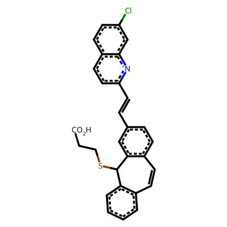 O=C(O)CCSC1c2ccccc2C=Cc2ccc(C=Cc3ccc4ccc(Cl)cc4n3)cc21